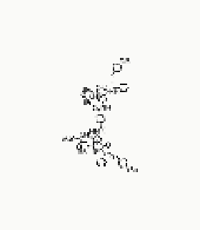 CC[C@@H](C)C(=O)N[C@H](C(=O)N1C[C@@H](NC(=O)c2ccc(C(=O)N[C@H]3C[C@@H](C(=O)N[C@H](COCc4ccc(C(C)(C)C)cc4)c4ccccc4)N(C(=O)[C@@H](CC(=O)[C@H](C)NC)C(C)(C)C)C3)cc2)C[C@H]1C(=O)N[C@H](COCc1ccc(C(C)(C)C)cc1)c1ccccc1)C(C)(C)C